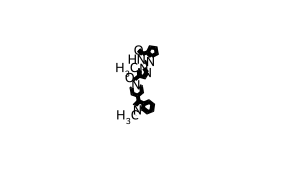 Cc1c(C(=O)N2CCC(c3cn(C)c4ccccc34)CC2)cnn1-c1nc2c(c(=O)[nH]1)CCC2